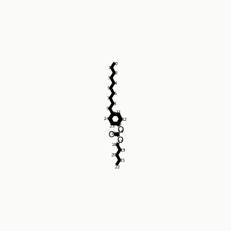 CCCCCCCCCCc1ccc(OC(=O)OCCCCC)cc1